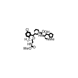 CNC[C@@H](NC(=O)N1CCC[C@@H]([C@@H](OCCNC(=O)OC)c2cc(Cl)ccc2C)C1)[C@@H](O)C1CCCC1